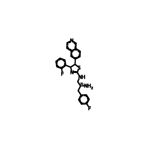 N[C@H](CNC1=NC(c2ccccc2F)C(c2ccc3cnccc3c2)S1)Cc1ccc(F)cc1